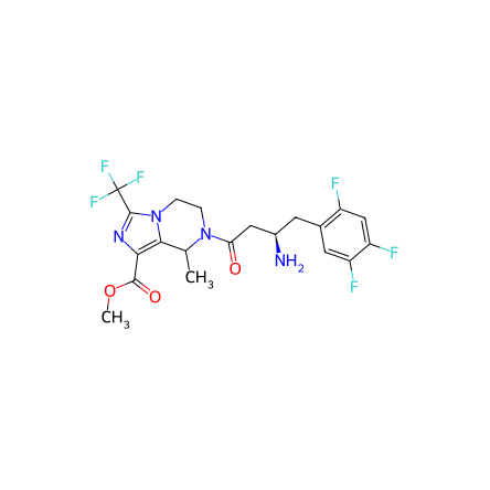 COC(=O)c1nc(C(F)(F)F)n2c1C(C)N(C(=O)C[C@H](N)Cc1cc(F)c(F)cc1F)CC2